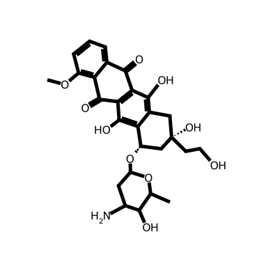 COc1cccc2c1C(=O)c1c(O)c3c(c(O)c1C2=O)C[C@@](O)(CCO)C[C@@H]3OC1CC(N)C(O)C(C)O1